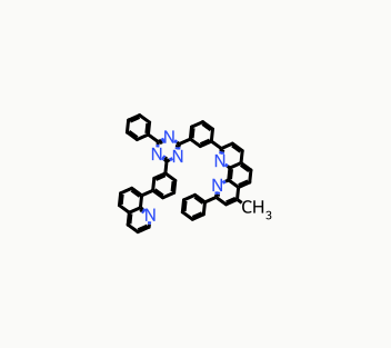 Cc1cc(-c2ccccc2)nc2c1ccc1ccc(-c3cccc(-c4nc(-c5ccccc5)nc(-c5cccc(-c6cccc7cccnc67)c5)n4)c3)nc12